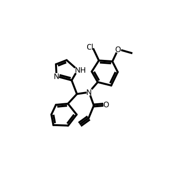 C#CC(=O)N(c1ccc(OC)c(Cl)c1)C(c1ccccc1)c1ncc[nH]1